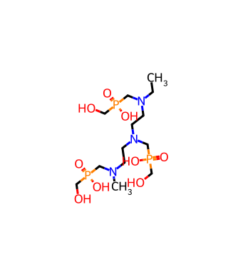 CCN(CCN(CCN(C)CP(=O)(O)CO)CP(=O)(O)CO)CP(=O)(O)CO